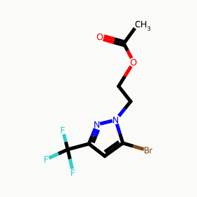 CC(=O)OCCn1nc(C(F)(F)F)cc1Br